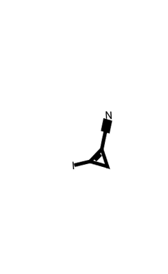 N#CC1=C(I)C1